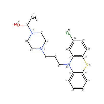 CC(O)N1CCN(CCCN2c3ccccc3Sc3ccc(Cl)cc32)CC1